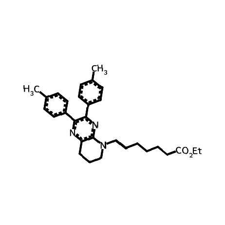 CCOC(=O)CCCCCCN1CCCc2nc(-c3ccc(C)cc3)c(-c3ccc(C)cc3)nc21